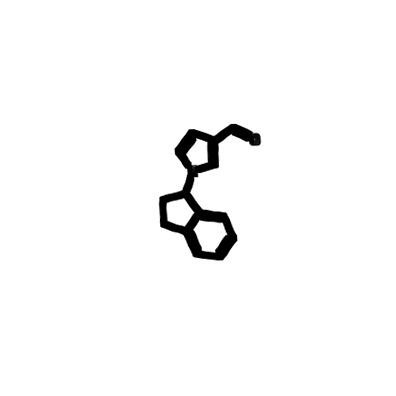 O=Cc1ccn(C2CCc3ccccc32)c1